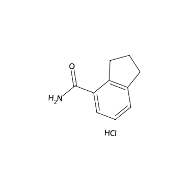 Cl.NC(=O)c1cccc2c1CCC2